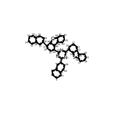 c1ccc2cc(-c3nc(-c4cccc5c4sc4ccccc45)nc(-c4ccc(-c5ccc6ccccc6c5)c5oc6ccccc6c45)n3)ccc2c1